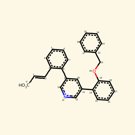 O=C(O)C=Cc1ccccc1-c1cncc(-c2ccccc2OCc2ccccc2)c1